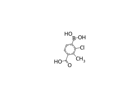 Cc1c(C(=O)O)ccc(B(O)O)c1Cl